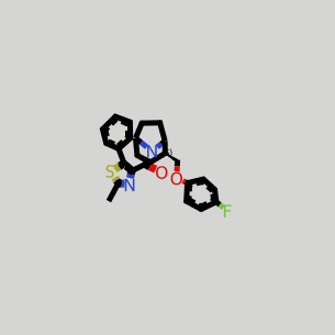 Cc1nc(C(=O)N2C3CCC2[C@@H](COc2ccc(F)cc2)CC3)c(-c2ccccc2)s1